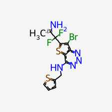 C[C@H](N)C(F)(F)c1sc2c(NCc3cccs3)nnnc2c1Br